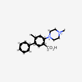 Cc1cc(N2CCN(C)CC2)c(C(=O)O)cc1-c1ccccc1